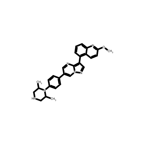 COc1ccc2c(-c3cnn4cc(-c5ccc(N6C(C)CNCC6C)cc5)cnc34)cccc2n1